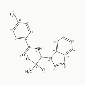 CC(Cl)(Cl)C(NC(=O)c1ccc(C(F)(F)F)cc1)n1nnc2ccccc21